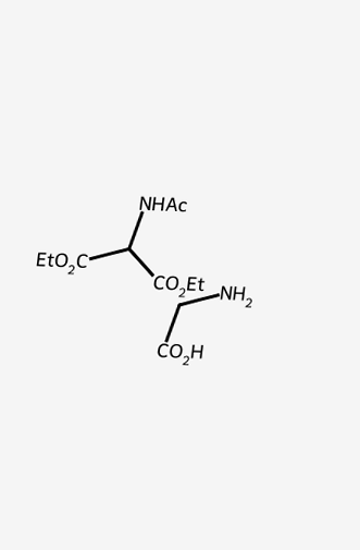 CCOC(=O)C(NC(C)=O)C(=O)OCC.NCC(=O)O